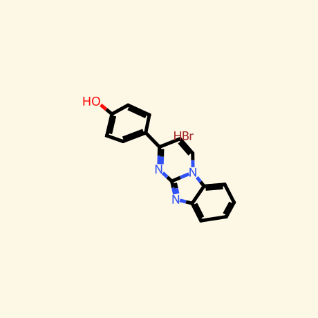 Br.Oc1ccc(-c2ccn3c(n2)nc2ccccc23)cc1